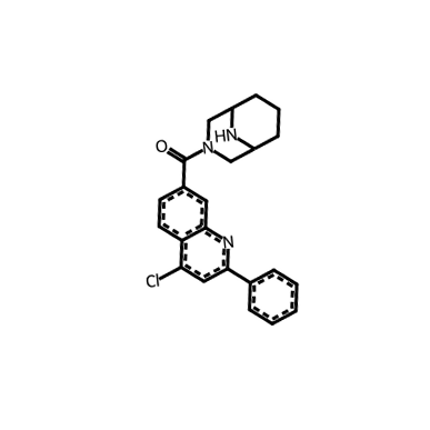 O=C(c1ccc2c(Cl)cc(-c3ccccc3)nc2c1)N1CC2CCCC(C1)N2